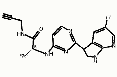 C#CCNC(=O)[C@H](Nc1ccnc(C2CNc3ncc(Cl)cc32)n1)C(C)C